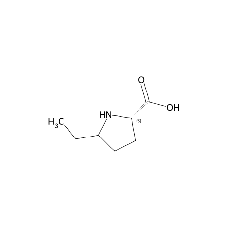 CCC1CC[C@@H](C(=O)O)N1